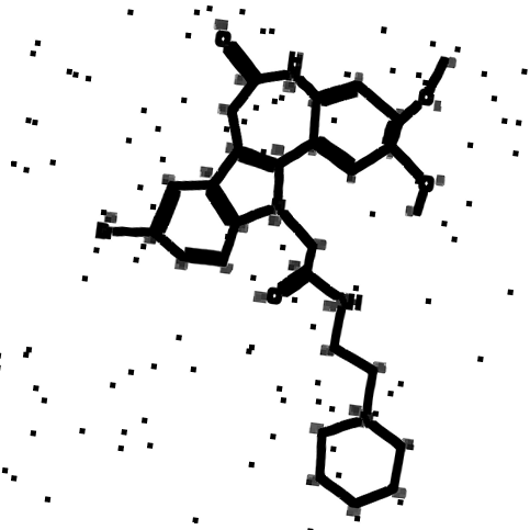 COc1cc2c(cc1OC)-c1c(c3cc(Br)ccc3n1CC(=O)NCCN1CCCCC1)CC(=O)N2